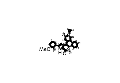 COc1cccc(-c2cc3c(-c4cc(=O)n(C5CC5)cc4-c4ccccc4)cn(C)c(=O)c3[nH]2)c1F